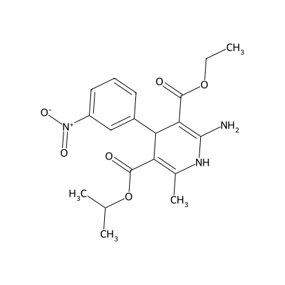 CCOC(=O)C1=C(N)NC(C)=C(C(=O)OC(C)C)C1c1cccc([N+](=O)[O-])c1